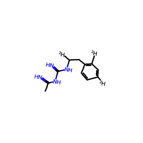 [2H]c1ccc(CC([2H])NC(=N)NC(C)=N)c([2H])c1